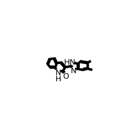 Cc1cc2nc(-c3cc4ccccc4[nH]c3=O)[nH]c2cc1C